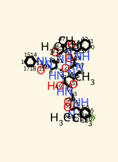 CCC[C@H](NC(=O)[C@@H]1CN(C(=O)Nc2ccccc2)C[C@@H]1NC(=O)[C@@H](NC(=O)[C@@H](NC(=O)c1cnccn1)C1CCCCC1)C(C)(C)C)C(O)C(=O)NCC(=O)NC(C(=O)N(C)C)c1ccc(F)cc1